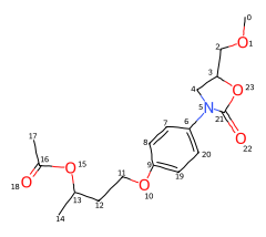 COCC1CN(c2ccc(OCCC(C)OC(C)=O)cc2)C(=O)O1